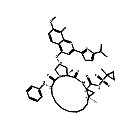 COc1ccc2c(O[C@@H]3C[C@H]4C(=O)N[C@]5(C(=O)NS(=O)(=O)C6(C)CC6)C[C@H]5CCCCCCC[C@H](Nc5ccccc5)C(=O)N4C3)cc(-c3nc(C(C)C)cs3)nc2c1C